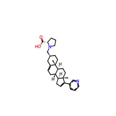 C[C@]12CC[C@H](CN3CCC[C@H]3C(=O)O)CC1=CC[C@@H]1[C@@H]2CC[C@]2(C)C(c3cccnc3)=CC[C@@H]12